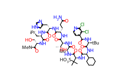 CC[C@H](C)[C@H](NC(=O)[C@@H](NC(=O)[C@@H](NC(=O)[C@@H](NC(=O)c1ccnc(Cl)c1Cl)C(C)(C)C)C1CCCCC1)C(C)(C)S(=O)(=O)O)C(=O)N[C@H](C(=O)N[C@@H](CCC(N)=O)C(=O)N[C@@H](Cc1c[nH]cn1)C(=O)N[C@H](CC(C)C)C(=O)N[C@@H](CO)C(=O)NC)[C@@H](C)O